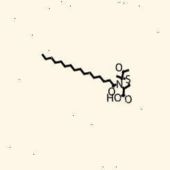 CCCCCCCCCCCCCCCC(=O)N1C(C(=O)O)CSC1(C)C(C)=O